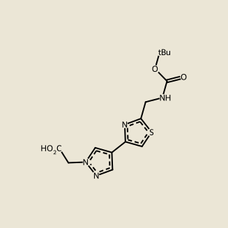 CC(C)(C)OC(=O)NCc1nc(-c2cnn(CC(=O)O)c2)cs1